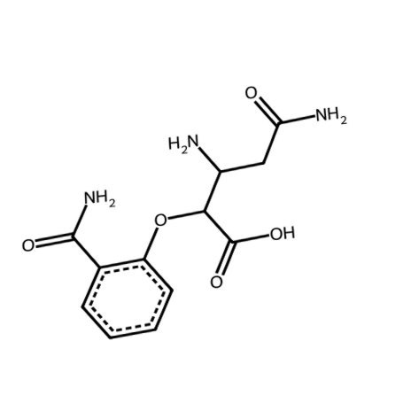 NC(=O)CC(N)C(Oc1ccccc1C(N)=O)C(=O)O